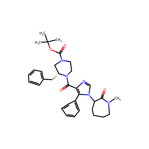 CN1CCCCC(n2cnc(C(=O)N3CCN(C(=O)OC(C)(C)C)C[C@H]3Cc3ccccc3)c2-c2ccccc2)C1=O